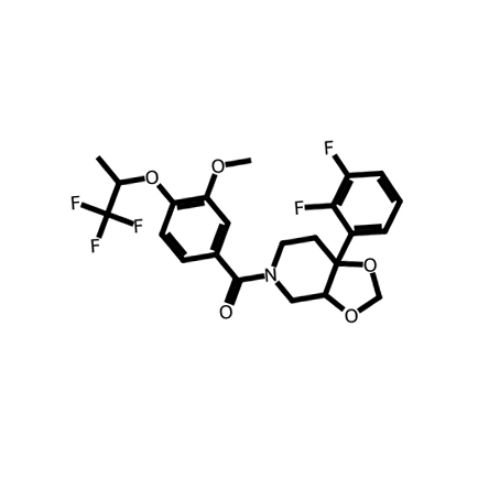 COc1cc(C(=O)N2CCC3(c4cccc(F)c4F)OCOC3C2)ccc1OC(C)C(F)(F)F